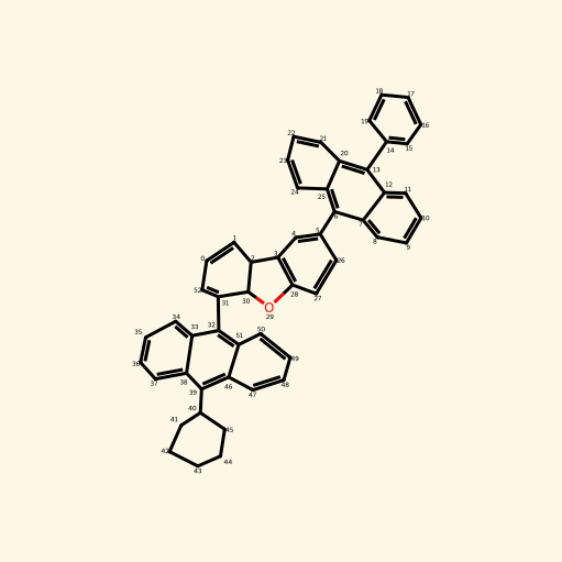 C1=CC2c3cc(-c4c5ccccc5c(-c5ccccc5)c5ccccc45)ccc3OC2C(c2c3ccccc3c(C3CCCCC3)c3ccccc23)=C1